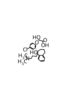 CN(C)CCC[C@]1(O)c2ccccc2CCC[C@H]1c1cccc(Cl)c1.O=C(O)C(=O)O